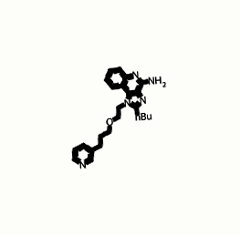 CCCCc1nc2c(N)nc3ccccc3c2n1CCOCCCc1cccnc1